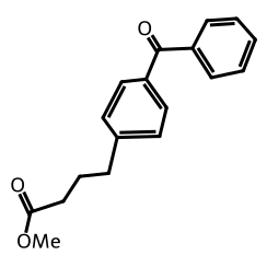 COC(=O)CCCc1ccc(C(=O)c2ccccc2)cc1